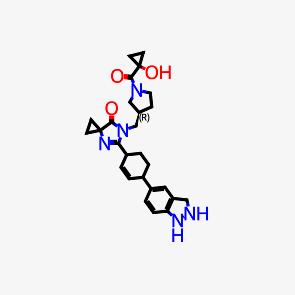 O=C(N1CC[C@@H](CN2C(=O)C3(CC3)N=C2C2C=CC(c3ccc4c(c3)CNN4)CC2)C1)C1(O)CC1